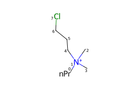 CCC[N+](C)(C)CCCCl